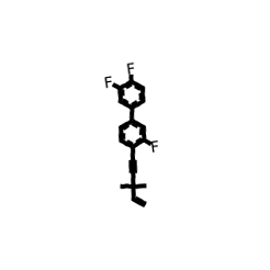 C=CC(C)(C)C#Cc1ccc(-c2ccc(F)c(F)c2)cc1F